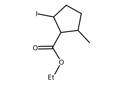 CCOC(=O)C1C(C)CCC1I